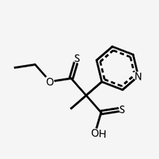 CCOC(=S)C(C)(C(O)=S)c1cccnc1